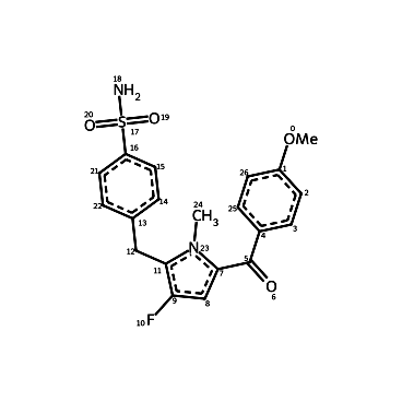 COc1ccc(C(=O)c2cc(F)c(Cc3ccc(S(N)(=O)=O)cc3)n2C)cc1